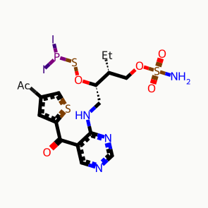 CC[C@H](COS(N)(=O)=O)[C@H](CNc1ncncc1C(=O)c1cc(C(C)=O)cs1)OSP(I)I